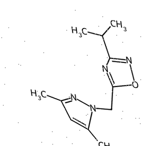 Cc1cc(C)n(Cc2nc(C(C)C)no2)n1